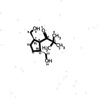 CC(C)(C)C(=O)C1[C@H](CO)CC[C@H]1CO